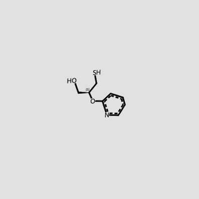 OC[C@@H](CS)Oc1ccccn1